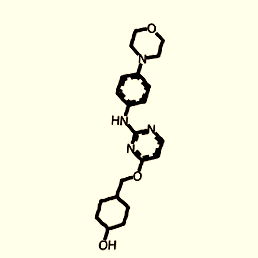 OC1CCC(COc2ccnc(Nc3ccc(N4CCOCC4)cc3)n2)CC1